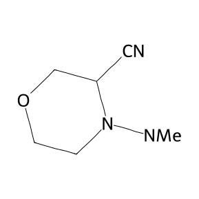 CNN1CCOCC1C#N